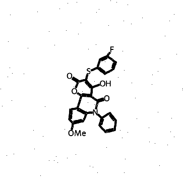 COc1ccc2c3oc(=O)c(Sc4cccc(F)c4)c(O)c3c(=O)n(-c3ccccc3)c2c1